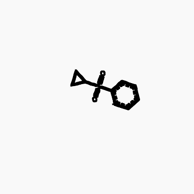 O=S(=O)(c1[c]cccc1)C1CC1